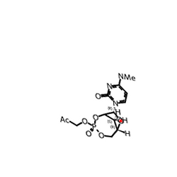 CNc1ccn([C@@H]2O[C@@H]3COP(=O)(OCC(C)=O)OC2[C@H]3O)c(=O)n1